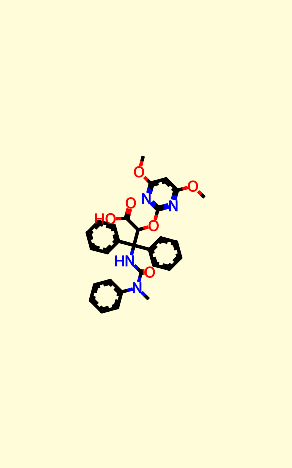 COc1cc(OC)nc(OC(C(=O)O)C(NC(=O)N(C)c2ccccc2)(c2ccccc2)c2ccccc2)n1